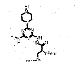 CCCCC[C@@H](CN(O)C=O)C(=O)NNc1nc(NCC)nc(N2CCN(CC)CC2)n1